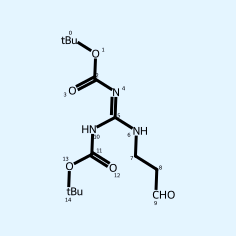 CC(C)(C)OC(=O)/N=C(/NCCC=O)NC(=O)OC(C)(C)C